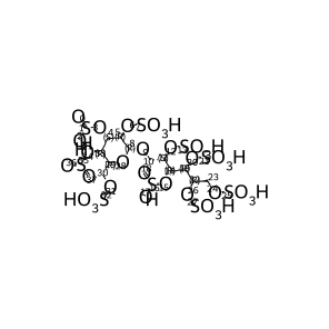 O=[SH](=O)O[C@@H]1[C@@H](OS(=O)(=O)O)[C@H](OC[C@H](OS(=O)(=O)O)[C@@H](O[SH](=O)=O)[C@H](OS(=O)(=O)O)[C@@H](COS(=O)(=O)O)OS(=O)(=O)O)O[C@H](COS(=O)(=O)O)[C@H]1O[SH](=O)=O